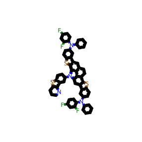 Fc1ccc(N(c2ccccc2)c2ccc3sc4c(cc5c6c4ccc4cc7c8cc(N(c9ccccc9)c9ccc(F)cc9F)ccc8sc7c(c46)n5-c4ccc5sc6cccnc6c5c4)c3c2)c(F)c1